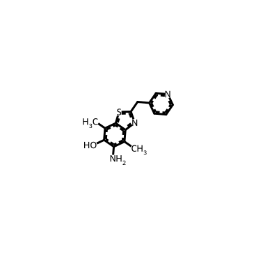 Cc1c(N)c(O)c(C)c2sc(Cc3cccnc3)nc12